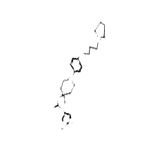 C[C@@H]1CCCN1CCCOc1ccc(N2CCC3(CC2)CN(c2cnn(C)c2)C(=O)O3)cc1